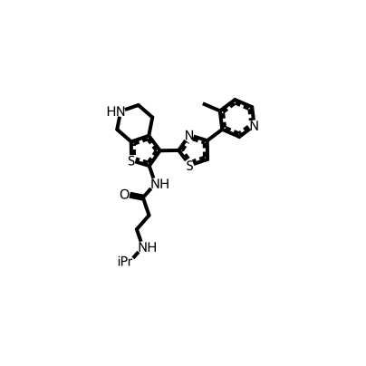 Cc1ccncc1-c1csc(-c2c(NC(=O)CCNC(C)C)sc3c2CCNC3)n1